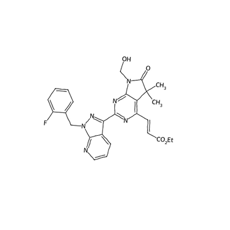 CCOC(=O)C=Cc1nc(-c2nn(Cc3ccccc3F)c3ncccc23)nc2c1C(C)(C)C(=O)N2CO